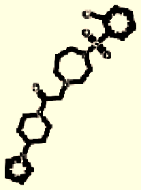 O=C(CN1CCCN(S(=O)(=O)c2ccccc2Cl)CC1)N1CCC(n2cccc2)CC1